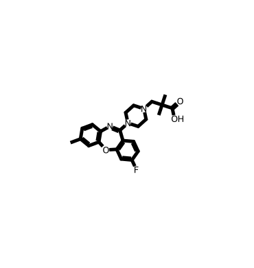 Cc1ccc2c(c1)Oc1cc(F)ccc1C(N1CCN(CC(C)(C)C(=O)O)CC1)=N2